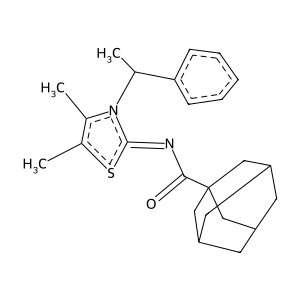 Cc1sc(=NC(=O)C23CC4CC(CC(C4)C2)C3)n(C(C)c2ccccc2)c1C